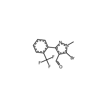 Cn1nc(-c2ccccc2C(F)(F)F)c(C=O)c1Br